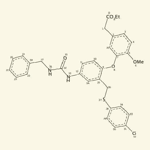 CCOC(=O)Cc1ccc(OC)c(Oc2ccc(NC(=O)NCc3ccccc3)cc2CSc2ccc(Cl)cc2)c1